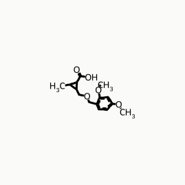 COc1ccc(COCC2C(C)C2C(=O)O)c(OC)c1